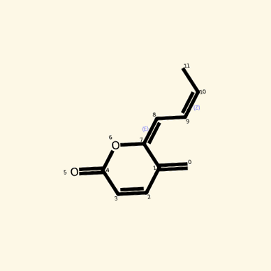 C=c1ccc(=O)o/c1=C/C=C\C